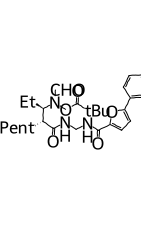 CCCCC[C@@H](C(=O)NCNC(=O)c1ccc(-c2ccccc2)o1)[C@@H](CC)N(C=O)OC(=O)C(C)(C)C